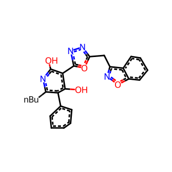 CCCCc1nc(O)c(-c2nnc(Cc3noc4ccccc34)o2)c(O)c1-c1ccccc1